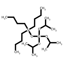 CCCC[Si](CCCC)(CCCC)[O][Zr]([O]C(C)C)([O]C(C)C)[O]C(C)C